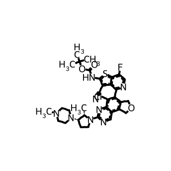 C[C@H]1[C@@H](N2CCN(C)CC2)CCN1c1ncc2c3c(c(-c4ncc(F)c5sc(NC(=O)OC(C)(C)C)c(C#N)c45)c(Cl)c2n1)COC3